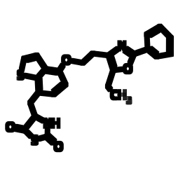 CCc1oc(-c2ccccc2)nc1CCOc1ccc(CC2NC(=O)SC2=O)c2sccc12